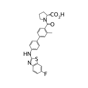 Cc1cc(-c2ccc(Nc3nc4ccc(F)cc4s3)cc2)ccc1C(=O)N1CCC[C@H]1C(=O)O